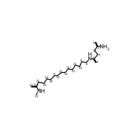 C=C(N)CCC(=C)NCCCCCCCCCCCCCCC(=C)NC